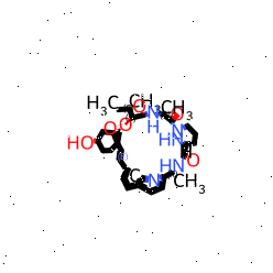 CC[C@H](C)[C@@H]1OC(=O)C2(/C=C/c3ccc4ccc(nc4c3)[C@@H](C)NC(=O)[C@@H]3CCCN(N3)C(=O)[C@H](C)NC1=O)CCC(O)CC2